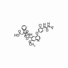 COc1cc2nccc(Oc3ccc(NC(=O)NC4CC4)c(Cl)c3)c2cc1C(=O)NP(=O)(NCC(=O)O)Oc1ccccc1